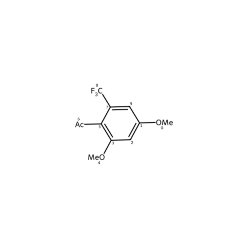 COc1cc(OC)c(C(C)=O)c(C(F)(F)F)c1